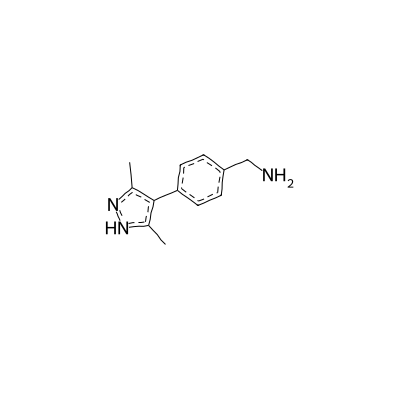 Cc1n[nH]c(C)c1-c1ccc(CN)cc1